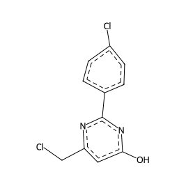 Oc1cc(CCl)nc(-c2ccc(Cl)cc2)n1